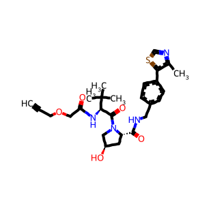 C#CCOCC(=O)N[C@H](C(=O)N1C[C@H](O)C[C@H]1C(=O)NCc1ccc(-c2scnc2C)cc1)C(C)(C)C